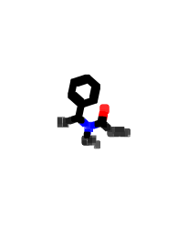 CCC(c1ccccc1)N(C)C(=O)OC